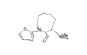 CNC1CCCCN(c2ccco2)C1=O